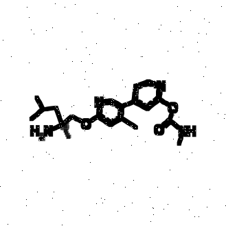 CNC(=O)Oc1cc(-c2cnc(OC[C@@](C)(N)CC(C)C)cc2C)ccn1